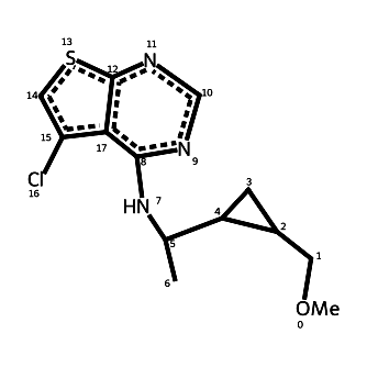 COCC1CC1C(C)Nc1ncnc2scc(Cl)c12